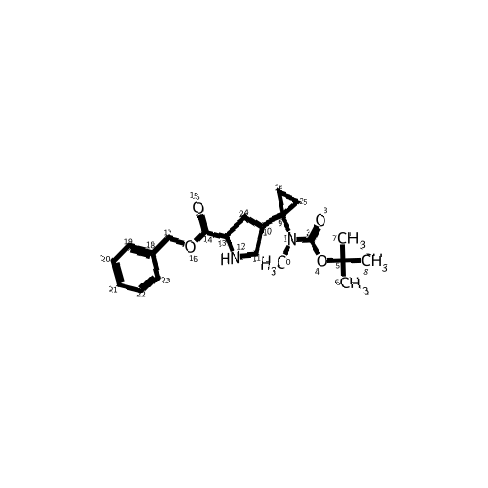 CN(C(=O)OC(C)(C)C)C1(C2CNC(C(=O)OCc3ccccc3)C2)CC1